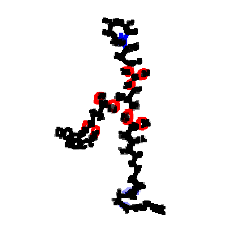 CCCCC/C=C\C/C=C\CCCCCCCC(=O)OCC(COC(=O)CCC(OCCCCCCCC)OCCCCCCCC)COC(=O)OCCCN1C=CCCC=C1